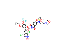 CS(=O)(=O)N(CCCN1CCOCC1)c1ccc2c(c1)C(=O)N(CC(=O)O[C@@H](Cc1c(Cl)c[n+]([O-])cc1Cl)c1ccc(OC(F)F)c(OCC3CC3)c1)C2=O